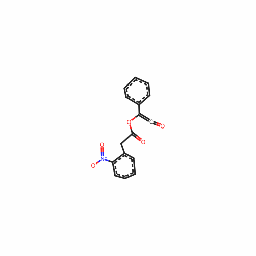 O=C=C(OC(=O)Cc1ccccc1[N+](=O)[O-])c1ccccc1